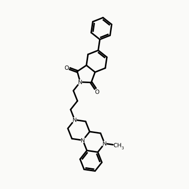 CN1CC2CN(CCCN3C(=O)C4CC=C(c5ccccc5)CC4C3=O)CCN2c2ccccc21